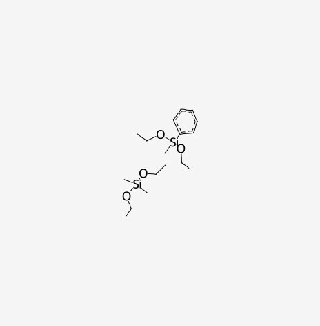 CCO[Si](C)(C)OCC.CCO[Si](C)(OCC)c1ccccc1